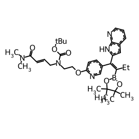 CC/C(B1OC(C)(C)C(C)(C)O1)=C(/c1ccc(OCCN(C/C=C/C(=O)N(C)C)C(=O)OC(C)(C)C)nc1)c1cc2cccnc2[nH]1